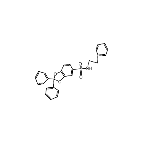 O=S(=O)(NCCc1ccccc1)c1ccc2c(c1)OC(c1ccccc1)(c1ccccc1)O2